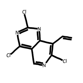 C=Cc1c(Cl)ncc2c(Cl)nc(Cl)nc12